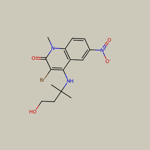 Cn1c(=O)c(Br)c(NC(C)(C)CCO)c2cc([N+](=O)[O-])ccc21